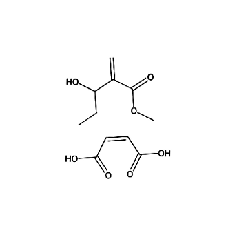 C=C(C(=O)OC)C(O)CC.O=C(O)/C=C\C(=O)O